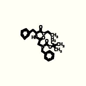 CCOC(=O)C(Cc1ccccc1)NC(=O)CN(Cc1ccccc1)C(=O)OC(C)(C)C